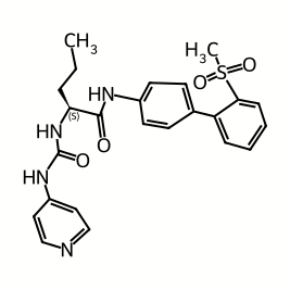 CCC[C@H](NC(=O)Nc1ccncc1)C(=O)Nc1ccc(-c2ccccc2S(C)(=O)=O)cc1